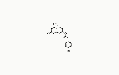 O=C(Cc1ccc(Br)cc1)Oc1ccc2c(C(F)(F)F)cc(=O)oc2c1